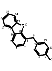 Cc1ccc(Cc2cccc3c2sc2ccccc23)cc1